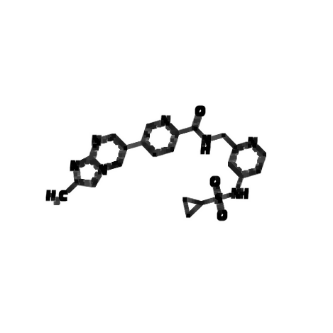 Cc1cn2cc(-c3ccc(C(=O)NCc4cc(NS(=O)(=O)C5CC5)ccn4)nc3)cnc2n1